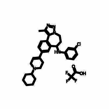 Cc1nnn2c1-c1ccc(C3=CCN(C4CCCCC4)CC3)cc1C(Nc1cccc(Cl)c1)CC2.O=C(O)C(F)(F)F